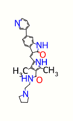 Cc1[nH]c(/C=C2\C(=O)Nc3cc(-c4cccnc4)ccc32)c(C)c1C(=O)NCCN1CCCC1